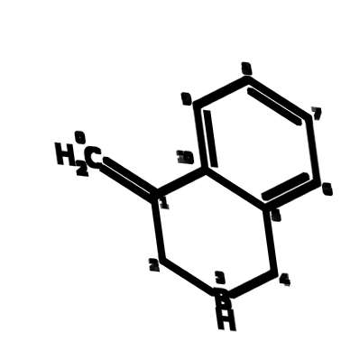 C=C1CBCc2ccccc21